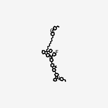 C=Cc1ccc(Oc2ccc(CCCCCCCCCCC3(c4ccccc4)c4ccccc4-c4ccc(N(c5ccc(F)cc5)c5ccc(-c6ccc7c(c6)C(C)(C)c6cc(-c8ccc9c(c8)c8ccccc8n9-c8ccc(C=C)cc8)ccc6-7)cc5)cc43)cc2)cc1